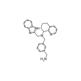 NCc1cccc(CN(Cc2nc3ccccc3[nH]2)C2CCCc3cccnc32)c1